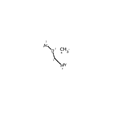 CCCCOC(C)=O.[CH3]